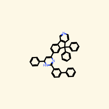 C1=C(c2ccc3c(c2)C(c2ccccc2)(c2ccccc2)c2ccncc2-3)N=C(c2cccc(-c3ccccc3)c2)NC1c1ccccc1